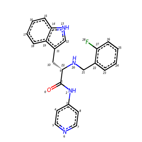 O=C(Nc1ccncc1)[C@H](Cc1c[nH]c2ccccc12)NCc1ccccc1F